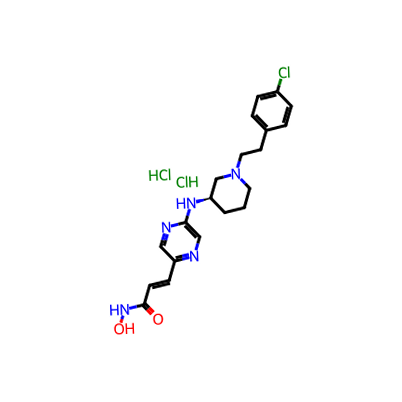 Cl.Cl.O=C(C=Cc1cnc(N[C@@H]2CCCN(CCc3ccc(Cl)cc3)C2)cn1)NO